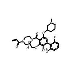 C=CC(=O)N1CCN2C(=O)c3c(OC4CCCN(C)C4)nc(-c4c(O)cccc4F)c(Cl)c3OC[C@H]2C1